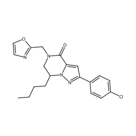 CCCCC1CN(Cc2ncco2)C(=O)c2cc(-c3ccc(Cl)cc3)nn21